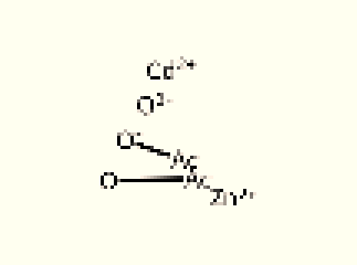 CC(=O)[O-].CC(=O)[O-].[Cd+2].[O-2].[Zn+2]